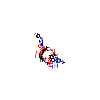 C/C1=C/C=C/[C@H](C)[C@H](O)[C@@H](C)[C@@H](O)[C@@H](C)[C@H](OC(=O)CC(=O)N2CCN(CC3CCN(C)CC3)CC2)[C@H](C)C/C=C/O[C@@]2(C)Oc3c(C)c(O)c4c(c3C2=O)C2=NC3(CCN(CC(C)C)CC3)NC2=C(NC1=O)C4=O